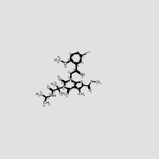 COC(=O)c1sc2c(c1C)c(=O)n(C(C)(C)C(=O)NC(C)C)c(=O)n2CC(=N)c1cc(F)ccc1OC